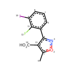 Cc1onc(-c2cccc(I)c2F)c1C(=O)O